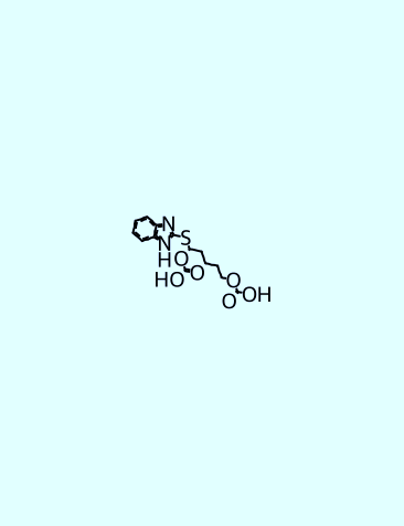 O=C(O)OCCCCC(OC(=O)O)Sc1nc2ccccc2[nH]1